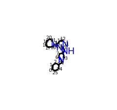 C1=CCC(CN2CCC(Nc3nccc(N4CCCCCC4)n3)C2)CC1